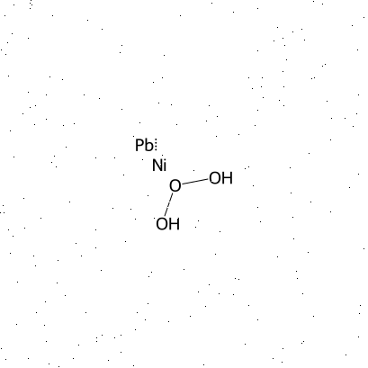 OOO.[Ni].[Pb]